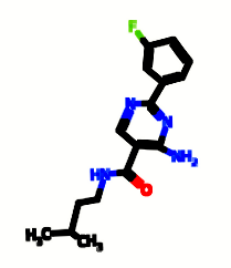 CC(C)CCNC(=O)c1cnc(-c2cccc(F)c2)nc1N